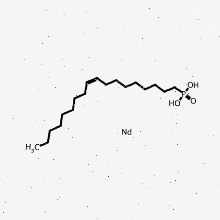 CCCCCCCC/C=C\CCCCCCCCP(=O)(O)O.[Nd]